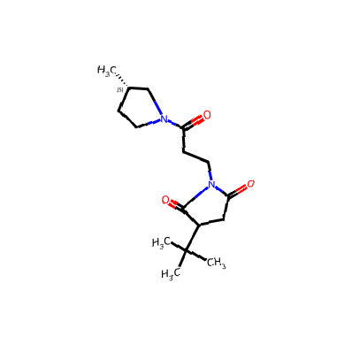 C[C@H]1CCN(C(=O)CCN2C(=O)CC(C(C)(C)C)C2=O)C1